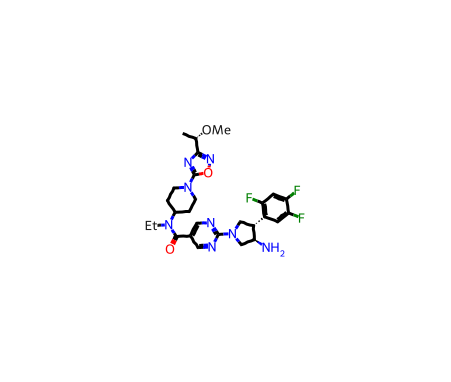 CCN(C(=O)c1cnc(N2C[C@H](c3cc(F)c(F)cc3F)[C@@H](N)C2)nc1)C1CCN(c2nc([C@H](C)OC)no2)CC1